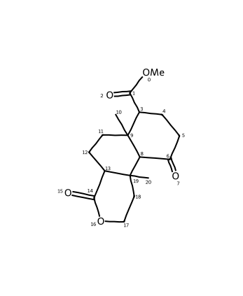 COC(=O)C1CCC(=O)C2C1(C)CCC1C(=O)OCCC12C